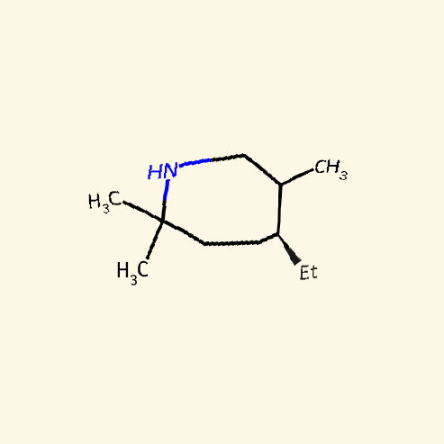 CC[C@H]1CC(C)(C)NCC1C